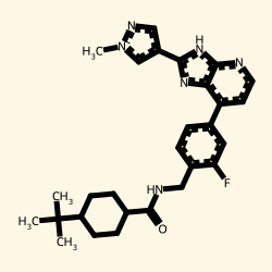 Cn1cc(-c2nc3c(-c4ccc(CNC(=O)C5CCC(C(C)(C)C)CC5)c(F)c4)ccnc3[nH]2)cn1